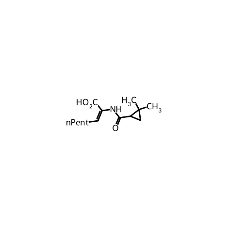 CCCCCC=C(NC(=O)C1CC1(C)C)C(=O)O